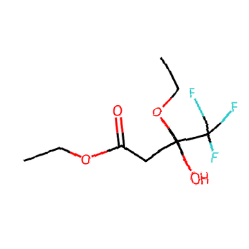 CCOC(=O)CC(O)(OCC)C(F)(F)F